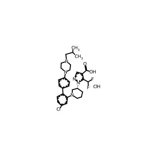 CC(C)CN1CCN(c2ccc(-c3ccc(Cl)cc3N3CCC[C@@H](n4ncc(C(=O)O)c4C(F)F)C3)cc2)CC1.Cl